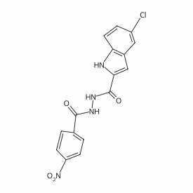 O=C(NNC(=O)c1cc2cc(Cl)ccc2[nH]1)c1ccc([N+](=O)[O-])cc1